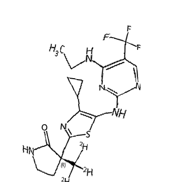 [2H]C([2H])([2H])[C@@]1(c2nc(C3CC3)c(Nc3ncc(C(F)(F)F)c(NCC)n3)s2)CCNC1=O